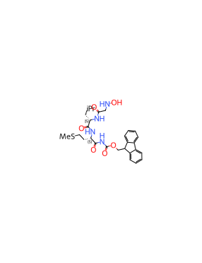 CSCC[C@H](NC(=O)[C@H](CC(C)C)NC(=O)CNO)C(=O)NC(=O)OCC1c2ccccc2-c2ccccc21